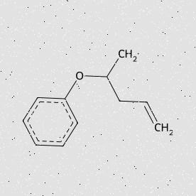 [CH2]C(CC=C)Oc1ccccc1